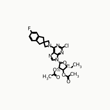 CC[C@H]1O[C@@H](n2cnc3c(N4CC5(Cc6ccc(F)cc6C5)C4)nc(Cl)nc32)[C@@H](OC(C)=O)C1OC(C)=O